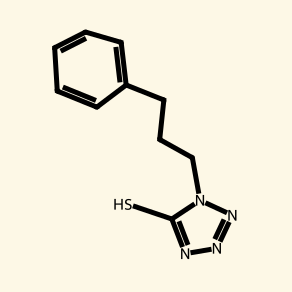 Sc1nnnn1CCCc1ccccc1